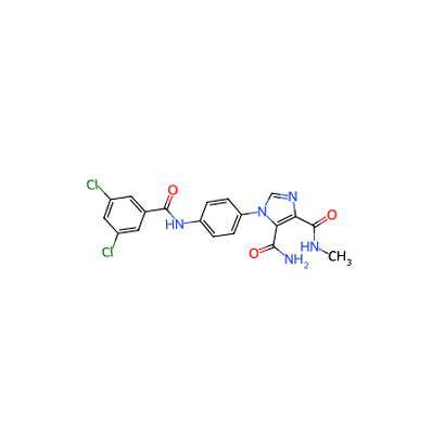 CNC(=O)c1ncn(-c2ccc(NC(=O)c3cc(Cl)cc(Cl)c3)cc2)c1C(N)=O